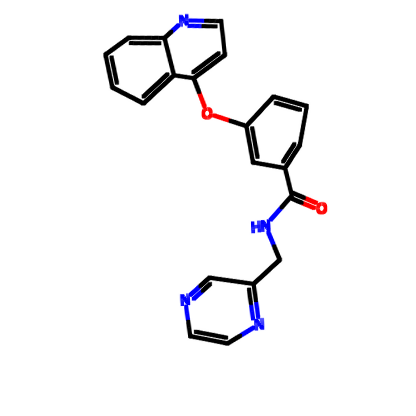 O=C(NCc1cnccn1)c1cccc(Oc2ccnc3ccccc23)c1